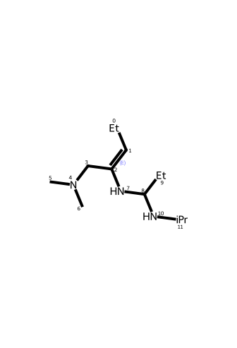 CC/C=C(\CN(C)C)NC(CC)NC(C)C